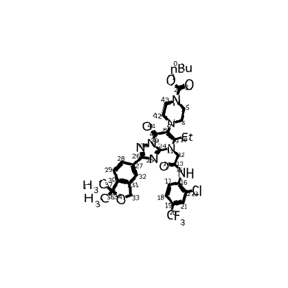 CCCCOC(=O)N1CCN(c2c(CC)n(CC(=O)Nc3ccc(C(F)(F)F)cc3Cl)c3nc(-c4ccc5c(c4)COC5(C)C)nn3c2=O)CC1